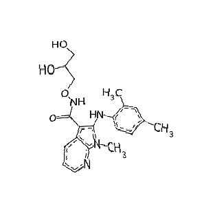 Cc1ccc(Nc2c(C(=O)NOCC(O)CO)c3cccnc3n2C)c(C)c1